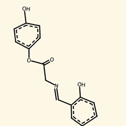 O=C(CN=Cc1ccccc1O)Oc1ccc(O)cc1